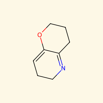 C1=C2OCCCC2=NCC1